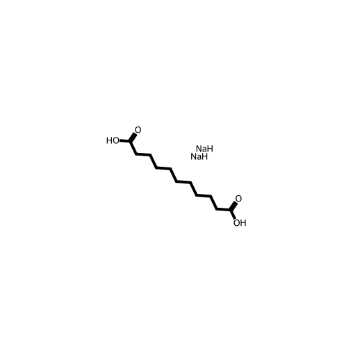 O=C(O)CCCCCCCCCC(=O)O.[NaH].[NaH]